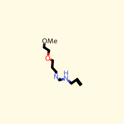 C=CCN/C=N\CCCOCCOC